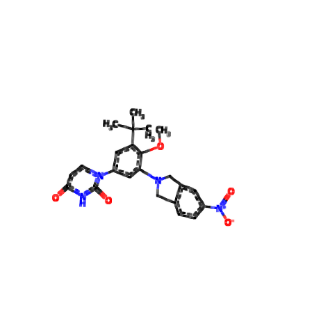 COc1c(N2Cc3ccc([N+](=O)[O-])cc3C2)cc(-n2ccc(=O)[nH]c2=O)cc1C(C)(C)C